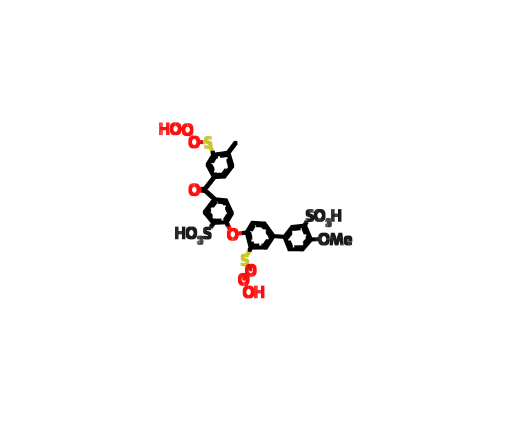 COc1ccc(-c2ccc(Oc3ccc(C(=O)c4ccc(C)c(SOOO)c4)cc3S(=O)(=O)O)c(SOOO)c2)cc1S(=O)(=O)O